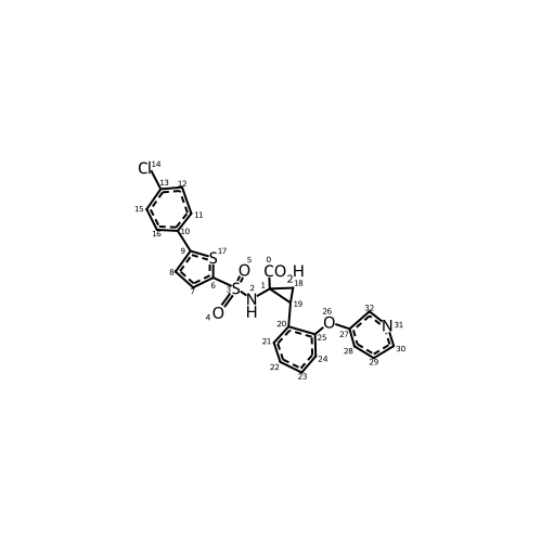 O=C(O)C1(NS(=O)(=O)c2ccc(-c3ccc(Cl)cc3)s2)CC1c1ccccc1Oc1cccnc1